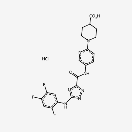 Cl.O=C(Nc1ccc(N2CCC(C(=O)O)CC2)nc1)c1nnc(Nc2cc(F)c(F)cc2F)o1